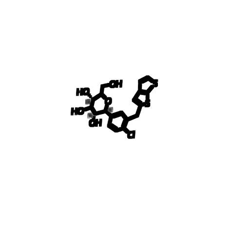 OCC1O[C@@H](c2ccc(Cl)c(Cc3cc4ccsc4s3)c2)[C@H](O)C(O)[C@@H]1O